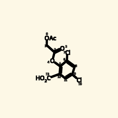 CC(=O)OCC(=O)Oc1c(Cl)cc(Cl)cc1C(=O)O